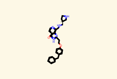 O=c1[nH]c(CCOc2ccc(Cc3ccccc3)cc2)nc2c(CNC[C@H]3CCNC3)nccc12